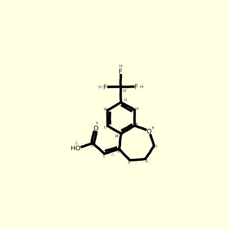 O=C(O)/C=C1/CCCOc2cc(C(F)(F)F)ccc21